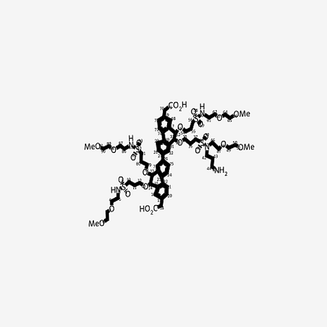 COCCOCCNS(=O)(=O)CCCOC1c2cc(CC(=O)O)ccc2-c2ccc(-c3ccc4c(c3)C(OCCCS(=O)(=O)N(CCCN)CCOCCOC)C(OCCCS(=O)(=O)NCCOCCOC)c3cc(CC(=O)O)ccc3-4)cc2C1OCCCS(=O)(=O)NCCOCCOC